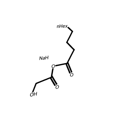 CCCCCCCCCC(=O)OC(=O)CO.[NaH]